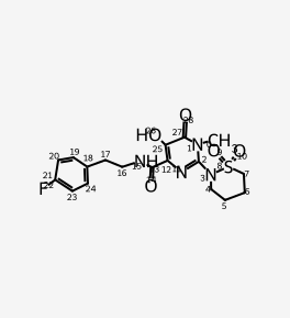 Cn1c(N2CCCCS2(=O)=O)nc(C(=O)NCCc2ccc(F)cc2)c(O)c1=O